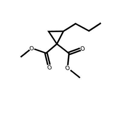 CCCC1CC1(C(=O)OC)C(=O)OC